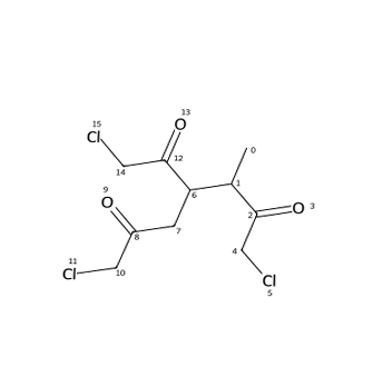 CC(C(=O)CCl)C(CC(=O)CCl)C(=O)CCl